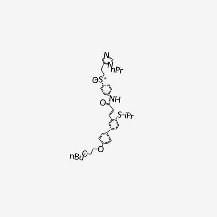 CCCCOCCOc1ccc(-c2ccc(SC(C)C)c(/C=C/C(=O)Nc3ccc([S@@+]([O-])CCc4cncn4CCC)cc3)c2)cc1